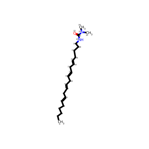 CCCCCC=CCC=CCC=CCC=CCCCCNC(=O)N(C)C